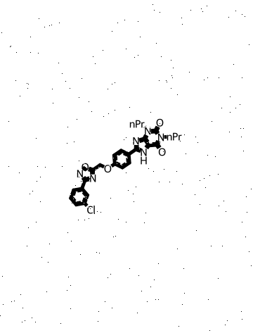 CCCn1c(=O)c2[nH]c(-c3ccc(OCc4nc(-c5cccc(Cl)c5)no4)cc3)nc2n(CCC)c1=O